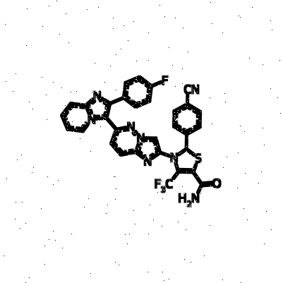 N#Cc1ccc(C2SC(C(N)=O)=C(C(F)(F)F)N2c2cn3nc(-c4c(-c5ccc(F)cc5)nc5ccccn45)ccc3n2)cc1